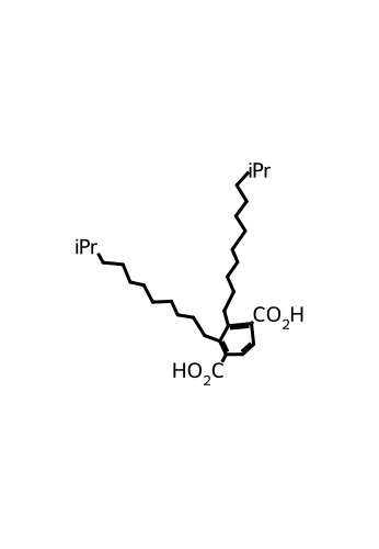 CC(C)CCCCCCCCCc1c(C(=O)O)ccc(C(=O)O)c1CCCCCCCCCC(C)C